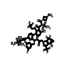 CC(C)(C#Cc1ccc(-c2ccc(Cl)c3c(N(C(=O)[C@H]4C[C@H](N)C4)S(C)(=O)=O)nn(CC(F)(F)F)c23)c([C@H](Cc2cc(F)cc(F)c2)NC(=O)Cn2nc(C(F)(F)F)c3c2C(F)(F)C2C[C@H]32)n1)S(C)(=O)=O